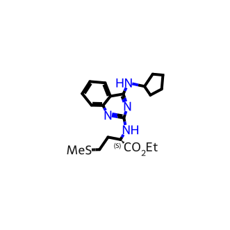 CCOC(=O)[C@H](CCSC)Nc1nc(NC2CCCC2)c2ccccc2n1